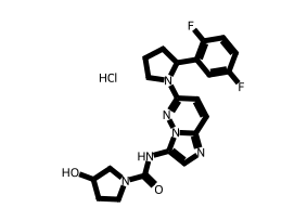 Cl.O=C(Nc1cnc2ccc(N3CCCC3c3cc(F)ccc3F)nn12)N1CCC(O)C1